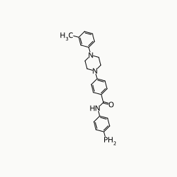 Cc1cccc(N2CCN(c3ccc(C(=O)Nc4ccc(P)cc4)cc3)CC2)c1